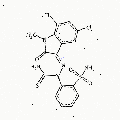 CN1C(=O)/C(=N\N(C(N)=S)c2ccccc2S(N)(=O)=O)c2cc(Cl)cc(Cl)c21